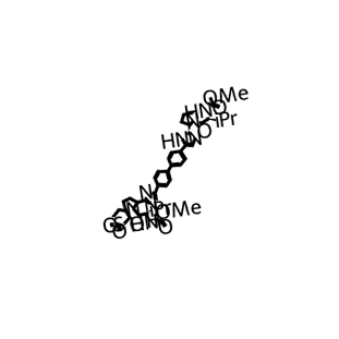 COC(=O)N[C@H](C(=O)N1CCC[C@H]1c1ncc(-c2ccc(-c3ccc(-c4c[nH]c(C5CCC6(CCS(=O)(=O)CC6)N5C(=O)[C@@H](NC(=O)OC)C(C)C)n4)cc3)cc2)[nH]1)C(C)C